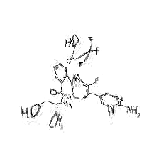 C[C@H](CO)NS(=O)(=O)c1ccccc1-c1ccc(-c2cnc(N)nc2)c(F)c1.O=C(O)C(F)(F)F